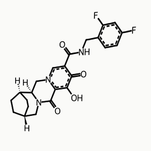 O=C(NCc1ccc(F)cc1F)c1cn2c(c(O)c1=O)C(=O)N1C[C@H]3CC[C@@H](CC3)[C@H]1C2